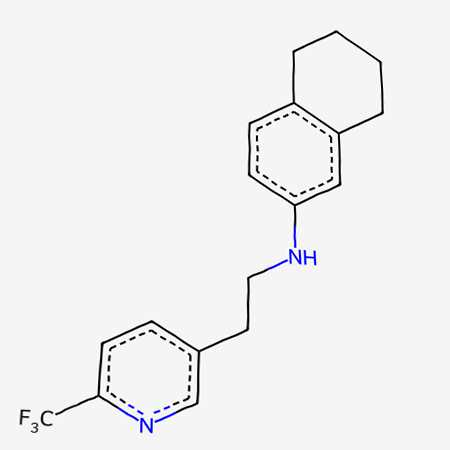 FC(F)(F)c1ccc(CCNc2ccc3c(c2)CCCC3)cn1